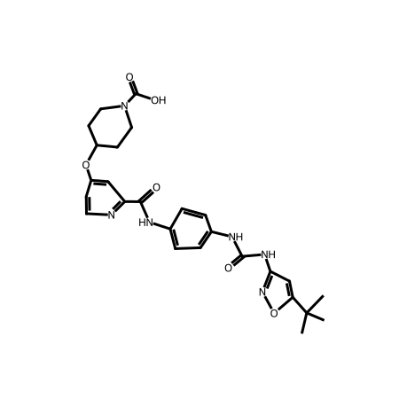 CC(C)(C)c1cc(NC(=O)Nc2ccc(NC(=O)c3cc(OC4CCN(C(=O)O)CC4)ccn3)cc2)no1